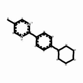 Cc1cnc(-c2ccc(C3CC[CH]CC3)cc2)nc1